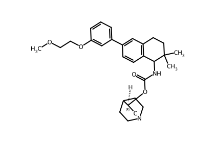 COCCOc1cccc(-c2ccc3c(c2)CCC(C)(C)C3NC(=O)O[C@H]2CN3CCC2CC3)c1